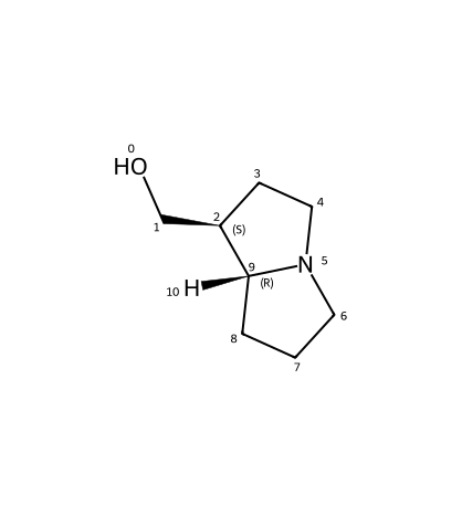 OC[C@H]1CCN2CCC[C@H]12